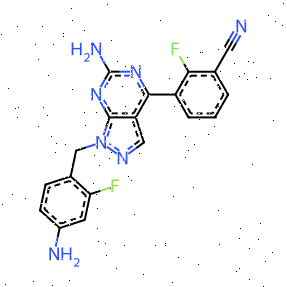 N#Cc1cccc(-c2nc(N)nc3c2cnn3Cc2ccc(N)cc2F)c1F